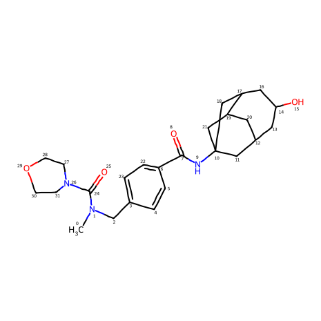 CN(Cc1ccc(C(=O)NC23CC4CC(O)CC(C2)C(C4)C3)cc1)C(=O)N1CCOCC1